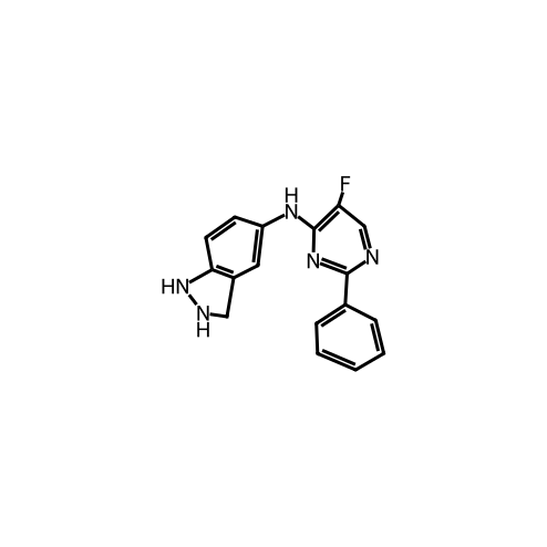 Fc1cnc(-c2ccccc2)nc1Nc1ccc2c(c1)CNN2